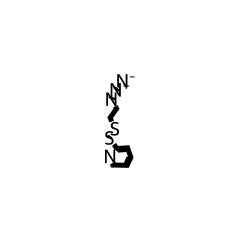 [N-]=[N+]=NCCSSc1ccccn1